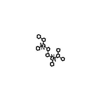 c1ccc(-c2cccc(-c3cc(-c4cccc(-c5cccc(-c6cc(-c7ccccc7)nc(-c7cc(-c8ccccc8)cc(-c8ccccc8)c7)n6)c5)c4)nc(-c4ccccc4)n3)c2)cc1